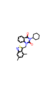 Cc1cc(C)c2c(Cn3c(=O)n([C]4CCCCC4)c(=O)c4ccccc43)snc2c1